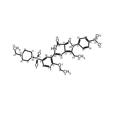 CCOc1ncc(S(=O)(=O)N2CCN(CC)CC2)cc1-c1nc2c(CC)n(-c3ccc([N+](=O)[O-])cc3)nc2c(=O)[nH]1